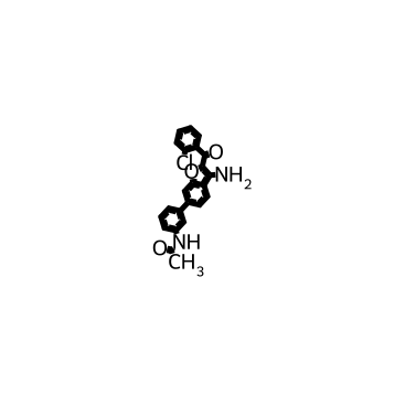 CC(=O)Nc1cccc(-c2ccc3c(N)c(C(=O)c4ccccc4Cl)oc3c2)c1